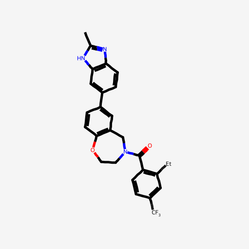 CCc1cc(C(F)(F)F)ccc1C(=O)N1CCOc2ccc(-c3ccc4nc(C)[nH]c4c3)cc2C1